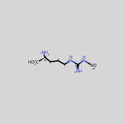 N=C(NCCC[C@H](N)C(=O)O)NN=O